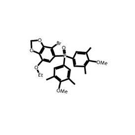 CCOc1cc(P(=O)(c2cc(C)c(OC)c(C)c2)c2cc(C)c(OC)c(C)c2)c(Br)c2c1OCO2